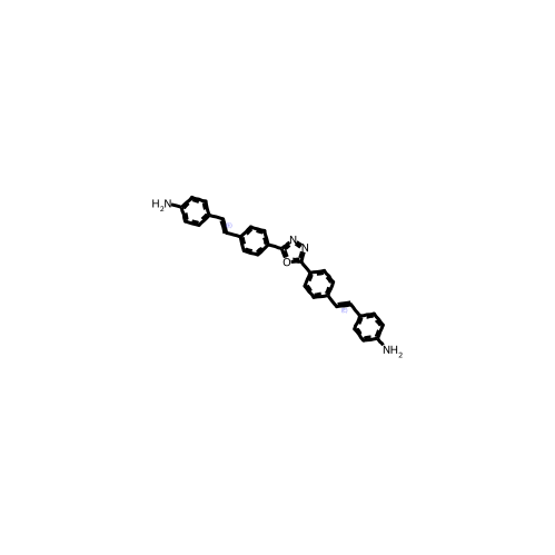 Nc1ccc(/C=C/c2ccc(-c3nnc(-c4ccc(/C=C/c5ccc(N)cc5)cc4)o3)cc2)cc1